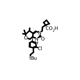 CC1C2=CN(CCC3(C(=O)O)CCC3)C(=O)N[C@]2(c2ccc(CCC(C)(C)C)c(Cl)c2)COC1(C)C